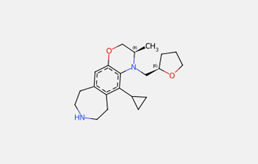 C[C@@H]1COc2cc3c(c(C4CC4)c2N1C[C@H]1CCCO1)CCNCC3